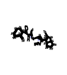 C=N/C(=C\N=C(/C)NC(=O)c1ccccc1C)C1=C(C)CC2CCCC12